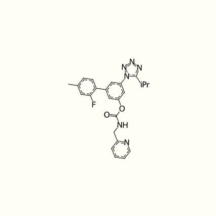 Cc1ccc(-c2cc(OC(=O)NCc3ccccn3)cc(-n3nnnc3C(C)C)c2)c(F)c1